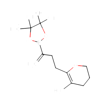 C=C(CCC1=C(C)CCCO1)B1OC(C)(C)C(C)(C)O1